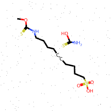 COC(=S)NCCCCCCCCCCS(=O)(=O)O.NC(O)=S